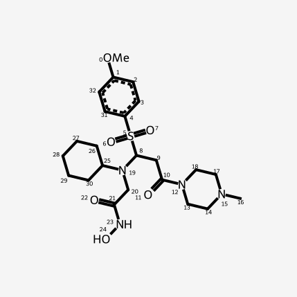 COc1ccc(S(=O)(=O)C(CC(=O)N2CCN(C)CC2)N(CC(=O)NO)C2CCCCC2)cc1